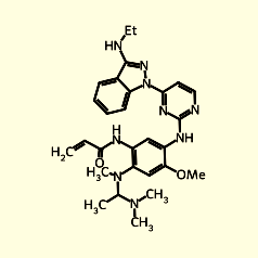 C=CC(=O)Nc1cc(Nc2nccc(-n3nc(NCC)c4ccccc43)n2)c(OC)cc1N(C)C(C)N(C)C